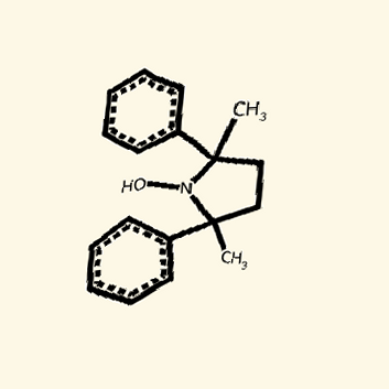 CC1(c2ccccc2)CCC(C)(c2ccccc2)N1O